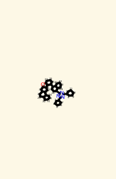 c1ccc(-c2nc(-c3ccccc3)nc(-c3ccc(-c4cccc5oc6cc7ccc8ccccc8c7cc6c45)c4ccccc34)n2)cc1